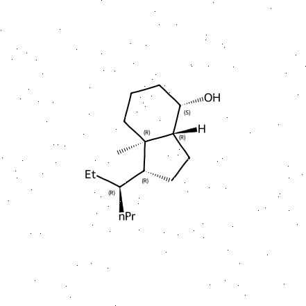 CCC[C@@H](CC)[C@H]1CC[C@H]2[C@@H](O)CCC[C@]12C